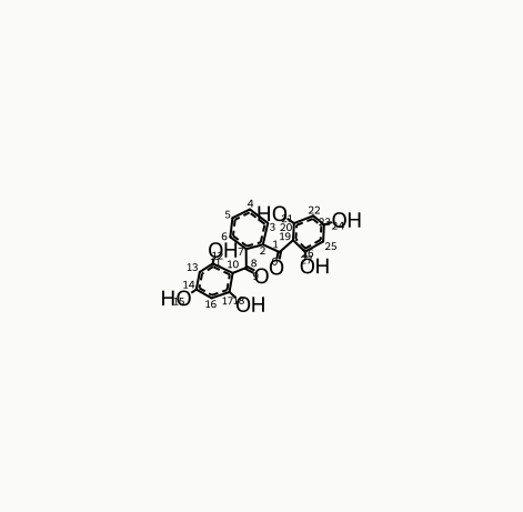 O=C(c1ccccc1C(=O)c1c(O)cc(O)cc1O)c1c(O)cc(O)cc1O